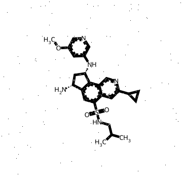 COc1cncc(N[C@H]2C[C@@H](N)c3cc(S(=O)(=O)NCC(C)C)c4cc(C5CC5)ncc4c32)c1